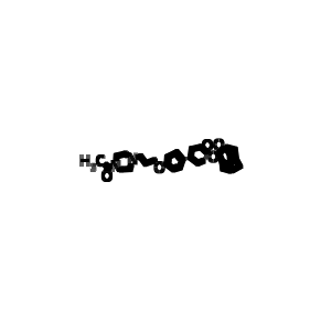 CC(=O)N1CCN(CCCOc2ccc([C@H]3CC[C@]4(CC3)OO[C@]3(O4)C4CC5CC(C4)CC3C5)cc2)CC1